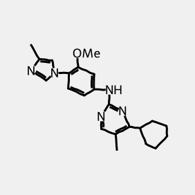 COc1cc(Nc2ncc(C)c(C3CCCCC3)n2)ccc1-n1cnc(C)c1